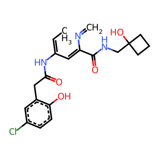 C=N/C(=C\C(=C/C)NC(=O)Cc1cc(Cl)ccc1O)C(=O)NCC1(O)CCC1